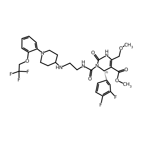 COCC1=C(C(=O)OC)[C@H](c2ccc(F)c(F)c2)N(C(=O)NCCNC2CCN(c3ccccc3OCC(F)(F)F)CC2)C(=O)N1